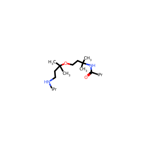 CC(C)NCCC(C)(C)OCCC(C)(C)NC(=O)C(C)C